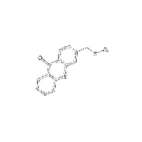 CCSCc1ccc2c(=O)c3ccccc3sc2c1